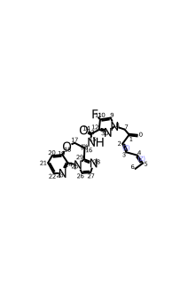 C=C(/C=C\C=C/C)Cn1cc(F)c(C(=O)N[C@H]2COc3cccnc3-n3ccnc32)n1